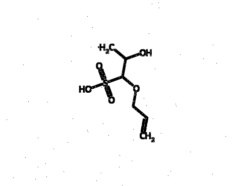 [CH2]C(O)C(OCC=C)S(=O)(=O)O